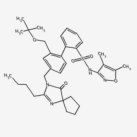 CCCCC1=NC2(CCCC2)C(=O)N1Cc1ccc(-c2ccccc2S(=O)(=O)Nc2noc(C)c2C)c(COC(C)(C)C)c1